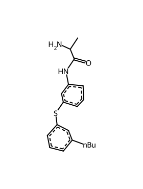 CCCCc1cccc(Sc2cccc(NC(=O)C(C)N)c2)c1